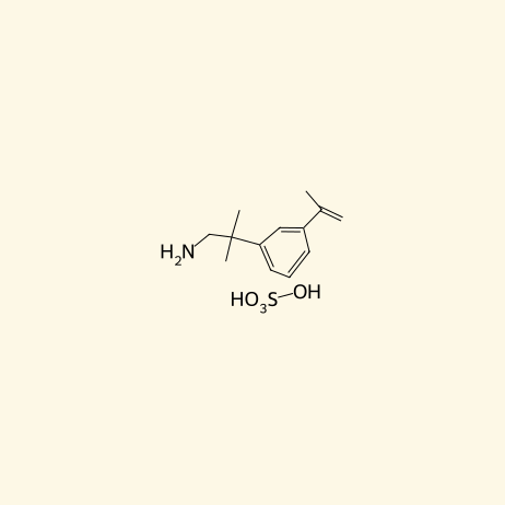 C=C(C)c1cccc(C(C)(C)CN)c1.O=S(=O)(O)O